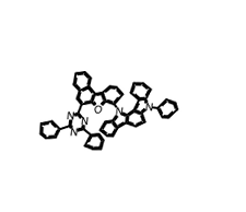 c1ccc(-c2nc(-c3ccccc3)nc(-c3cc4ccccc4c4c3oc3c(-n5c6ccccc6c6ccc7c(c8ccccc8n7-c7ccccc7)c65)cccc34)n2)cc1